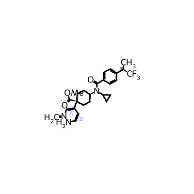 C=N/C=C(\C=C/N)[C@]1(C(=O)OC)CC[C@@H](N(C(=O)c2ccc([C@@H](C)C(F)(F)F)cc2)C2CC2)CC1